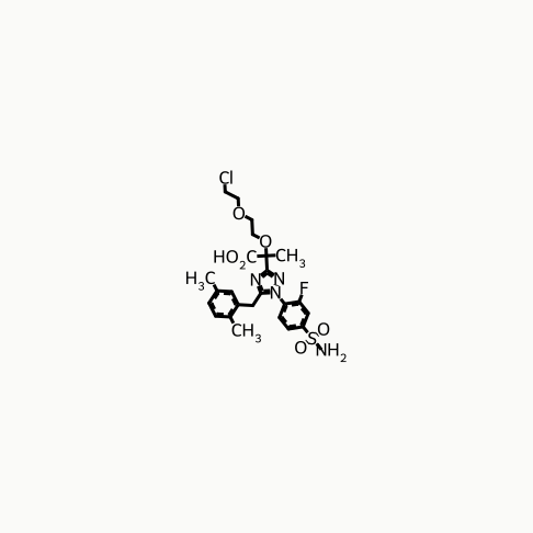 Cc1ccc(C)c(Cc2nc(C(C)(OCCOCCCl)C(=O)O)nn2-c2ccc(S(N)(=O)=O)cc2F)c1